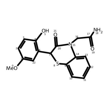 COc1ccc(O)c(C2Sc3ccccc3N(CC(N)=O)C2=O)c1